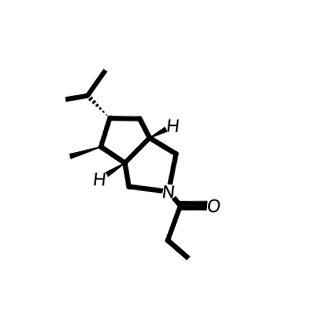 CCC(=O)N1C[C@H]2C[C@@H](C(C)C)[C@H](C)[C@H]2C1